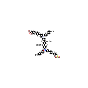 CCCCCCc1cc(-c2ccc(N(c3ccc(-c4ccc(CCC)cc4)cc3)c3ccc(-c4ccc(-c5ccc6c(c5)COS(=O)C6)cc4)cc3)cc2C)c(CCCCCC)cc1-c1ccc(N(c2ccc(-c3ccc(CCC)cc3)cc2)c2ccc(-c3ccc(-c4ccc5c(c4)COS(=O)C5)cc3)cc2)cc1C